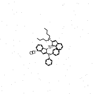 CCCCP(CCCC)C1=Cc2ccccc2[CH]1[Ti+2][CH]1C(P(c2ccccc2)c2ccccc2)=Cc2ccccc21.[Cl-].[Cl-]